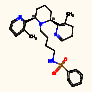 CC1=C([C@@H]2CCC[C@H](c3ncccc3C)N2CCCCNS(=O)(=O)c2ccccc2)N=CCC1